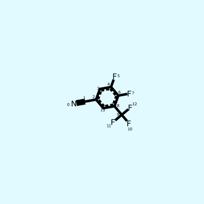 N#Cc1cc(F)c(F)c(C(F)(F)F)c1